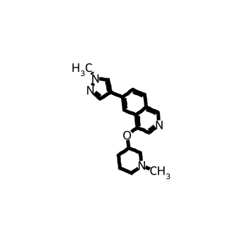 CN1CCCC(Oc2cncc3ccc(-c4cnn(C)c4)cc23)C1